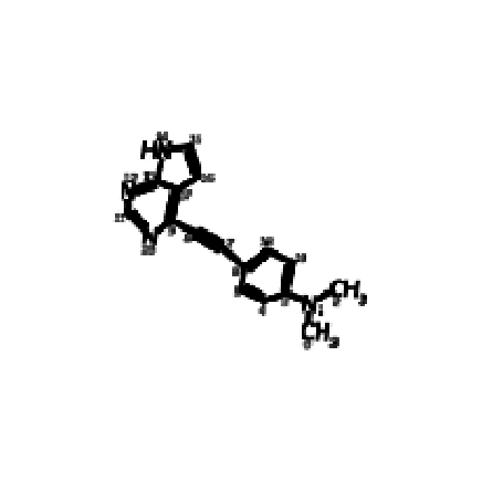 CN(C)c1ccc(C#Cc2ncnc3[nH]ccc23)cc1